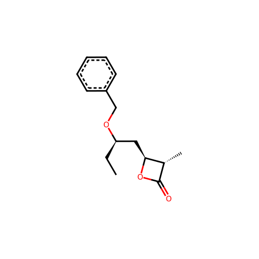 CC[C@H](C[C@@H]1OC(=O)[C@H]1C)OCc1ccccc1